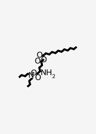 CCCCCCCCCCCC(=O)OC(=O)CC[C@H](N)C(=O)ON(CCCC)CCCC